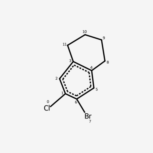 Clc1cc2c(cc1Br)CCCC2